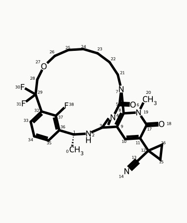 C[C@H]1Nc2nc(=O)n(c3c2cc(C2(C#N)CC2)c(=O)n3C)CCCCCCOCC(F)(F)c2cccc1c2F